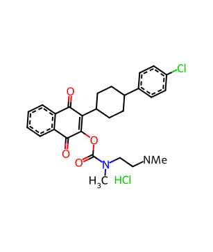 CNCCN(C)C(=O)OC1=C(C2CCC(c3ccc(Cl)cc3)CC2)C(=O)c2ccccc2C1=O.Cl